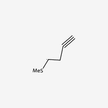 C#CC[CH]SC